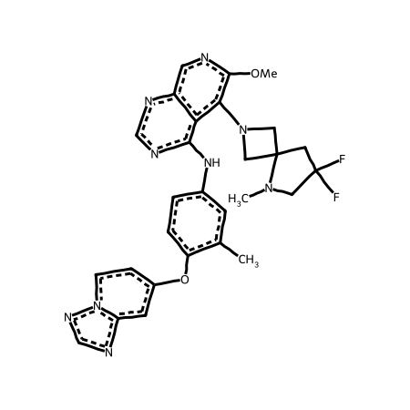 COc1ncc2ncnc(Nc3ccc(Oc4ccn5ncnc5c4)c(C)c3)c2c1N1CC2(C1)CC(F)(F)CN2C